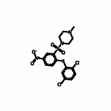 CN1CCN(S(=O)(=O)c2cc([N+](=O)[O-])ccc2Sc2cc(Cl)ccc2Cl)CC1